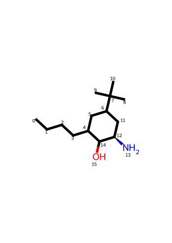 CCCCC1CC(C(C)(C)C)C[C@@H](N)C1O